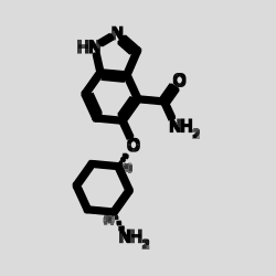 NC(=O)c1c(O[C@H]2CCC[C@@H](N)C2)ccc2[nH]ncc12